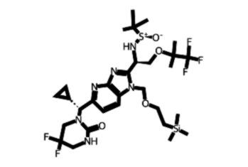 CC(C)(C)[S@@+]([O-])N[C@@H](COC(C)(C)C(F)(F)F)c1nc2nc([C@@H](C3CC3)N3CC(F)(F)CNC3=O)ccc2n1COCC[Si](C)(C)C